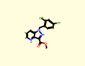 COC(=O)c1nn(Cc2ccc(Cl)cc2Cl)c2cccnc12